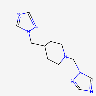 c1ncn(CC2CCN(Cn3cncn3)CC2)n1